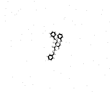 C[C@H](COCc1ccccc1)P([C@H](C)COCc1ccccc1)[C@H](C)COCc1ccccc1